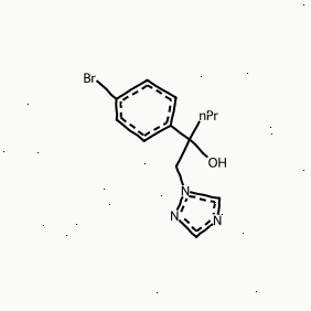 CCCC(O)(Cn1cncn1)c1ccc(Br)cc1